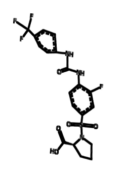 O=C(Nc1ccc(C(F)(F)F)cc1)Nc1ccc(S(=O)(=O)N2CCC[C@H]2C(=O)O)cc1F